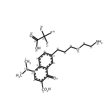 CN(C)n1cc(C(=O)O)c(=O)c2cc(CCCOCCN)ccc21.O=C(O)C(F)(F)F